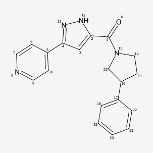 O=C(c1cc(-c2ccncc2)n[nH]1)N1CCC(c2ccccc2)C1